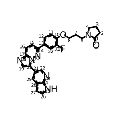 O=C1CCCN1CCCOc1ccc(-c2ccc3ncc(-c4cnc5[nH]ccc5c4)n3n2)cc1F